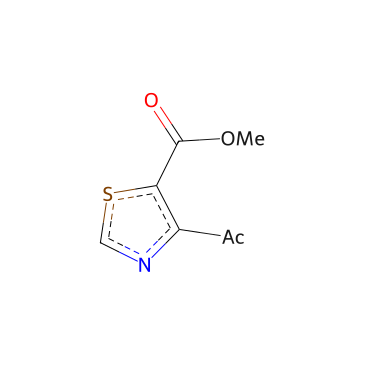 COC(=O)c1scnc1C(C)=O